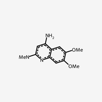 CNc1cc(N)c2cc(OC)c(OC)cc2n1